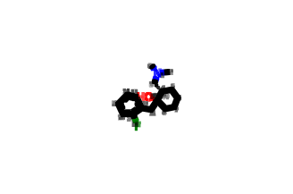 CN(C)C[C@@H]1CCCC[C@]1(O)Cc1ccccc1F